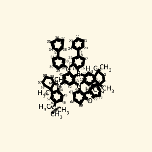 CC1(C)CCC(C)(C)c2cc3c(cc21)B1c2ccc(-c4ccccc4)cc2N(c2cccc(-c4ccccc4)c2)c2cc(N4c5ccc([Si](C)(C)C)cc5C5(C)CCCCC45C)cc(c21)N3c1cccc2oc3ccccc3c12